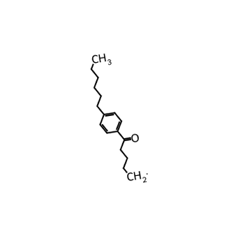 [CH2]CCCC(=O)c1ccc(CCCCCC)cc1